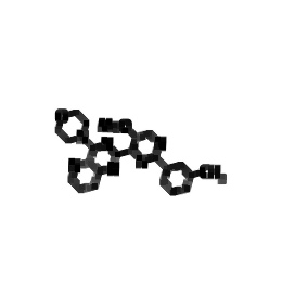 COc1cnc(-c2cccc(C)c2)nc1-c1nc(N2CCOCC2)c2ncccc2n1